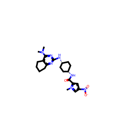 CN(C)c1nc(N[C@H]2CC[C@@H](NC(=O)c3cc([N+](=O)[O-])cn3C)CC2)nc2c1CCCC2